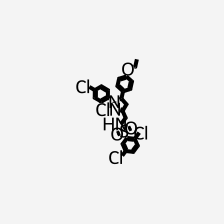 CCOc1ccc(C2CC(CNS(=O)(=O)c3cc(Cl)ccc3Cl)=NN2c2ccc(Cl)cc2Cl)cc1